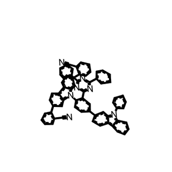 N#Cc1ccccc1-c1ccc2c3ccc(-c4ccccc4C#N)cc3n(-c3ccc(-c4ccc5c6ccccc6n(-c6ccccc6)c5c4)cc3-c3nc(-c4ccccc4)nc(-c4ccccc4)n3)c2c1